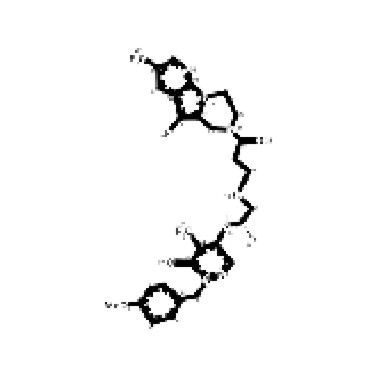 COc1ccc(Cn2ncc(N[C@@H](C)COCCC(=O)N3CCn4c(c(F)c5cc(C(F)(F)F)cnc54)C3)c(C(F)(F)F)c2=O)cc1